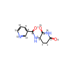 O=C1CCC(NC(=O)c2cccnc2)C(=O)N1